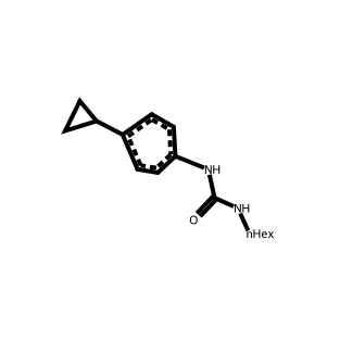 CCCCCCNC(=O)Nc1ccc(C2CC2)cc1